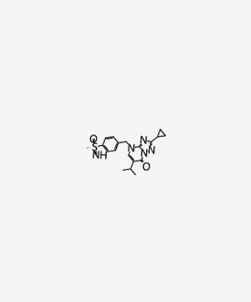 CC(C)c1cn(Cc2ccc([S@@](C)(=N)=O)cc2)c2nc(C3CC3)nn2c1=O